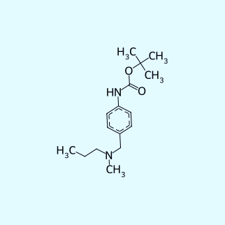 CCCN(C)Cc1ccc(NC(=O)OC(C)(C)C)cc1